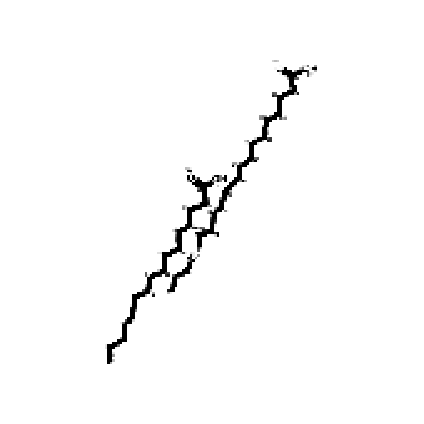 CCCBr.CCCCCCCCCCCCCCCC(=O)O.CCCCCCCCCCCCCCCC(=O)O